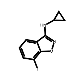 Ic1cccc2c(NC3CC3)noc12